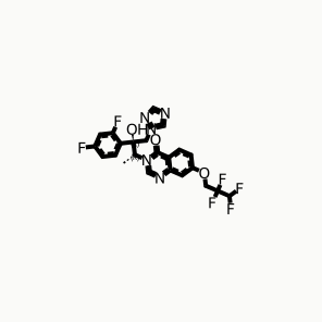 C[C@@H](n1cnc2cc(OCC(F)(F)C(F)F)ccc2c1=O)[C@](O)(Cn1cncn1)c1ccc(F)cc1F